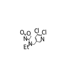 CCN(Cc1cnc(Cl)c(Cl)c1)C1=NC(=O)OC1